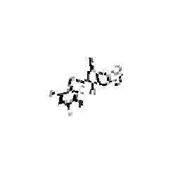 CCn1cc(C(=O)Oc2c(F)c(F)c(F)c(F)c2F)c(=O)c2cc3c(cc21)OCO3